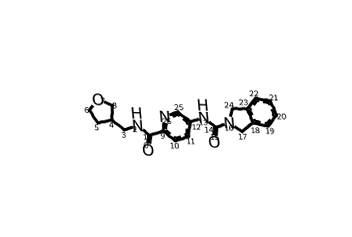 O=C(NCC1CCOC1)c1ccc(NC(=O)N2Cc3ccccc3C2)cn1